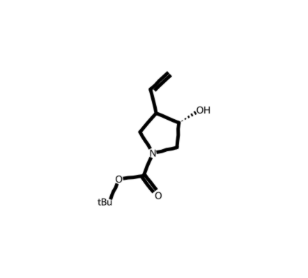 C=CC1CN(C(=O)OC(C)(C)C)C[C@H]1O